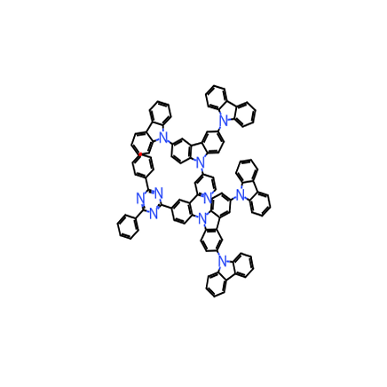 c1ccc(-c2nc(-c3ccccc3)nc(-c3ccc(-n4c5ccc(-n6c7ccccc7c7ccccc76)cc5c5cc(-n6c7ccccc7c7ccccc76)ccc54)c(-c4cc(-n5c6ccc(-n7c8ccccc8c8ccccc87)cc6c6cc(-n7c8ccccc8c8ccccc87)ccc65)ccn4)c3)n2)cc1